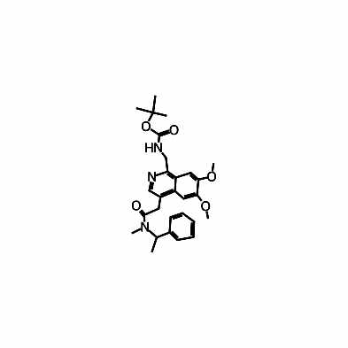 COc1cc2c(CC(=O)N(C)C(C)c3ccccc3)cnc(CNC(=O)OC(C)(C)C)c2cc1OC